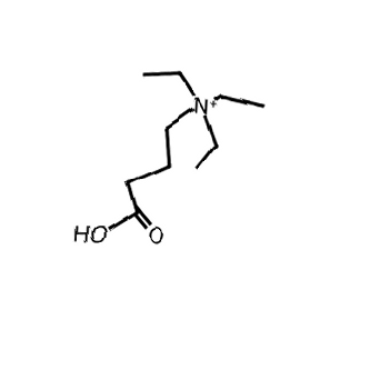 CC[N+](CC)(CC)CCCC(=O)O